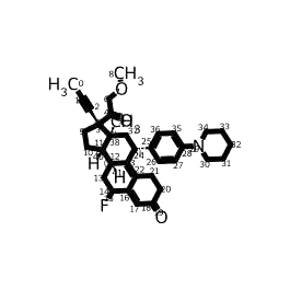 CC#C[C@]1(C(=O)COC)CC[C@H]2[C@@H]3CC(F)C4=CC(=O)CCC4=C3[C@@H](c3ccc(N4CCCCC4)cc3)C[C@@]21C